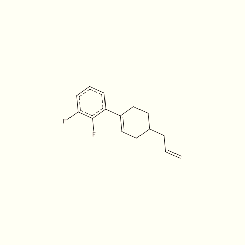 C=CCC1CC=C(c2cccc(F)c2F)CC1